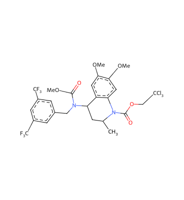 COC(=O)N(Cc1cc(C(F)(F)F)cc(C(F)(F)F)c1)C1CC(C)N(C(=O)OCC(Cl)(Cl)Cl)c2cc(OC)c(OC)cc21